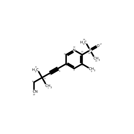 Cc1cc(C#CC(C)(C)CC#N)cnc1P(C)(C)=O